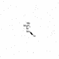 [MgH2].[Mo][Ta].[Nb].[Ni]